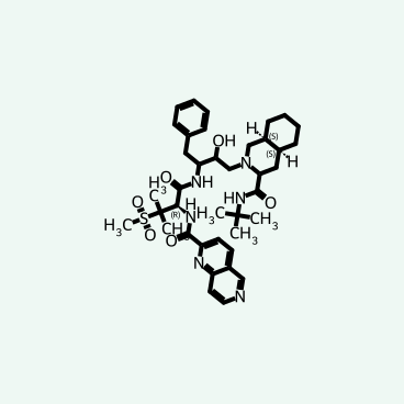 CC(C)(C)NC(=O)C1C[C@@H]2CCCC[C@@H]2CN1CC(O)C(Cc1ccccc1)NC(=O)[C@@H](NC(=O)c1ccc2cnccc2n1)C(C)(C)S(C)(=O)=O